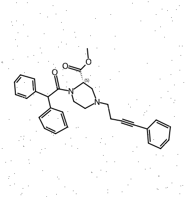 COC(=O)[C@@H]1CN(CCC#Cc2ccccc2)CCN1C(=O)C(c1ccccc1)c1ccccc1